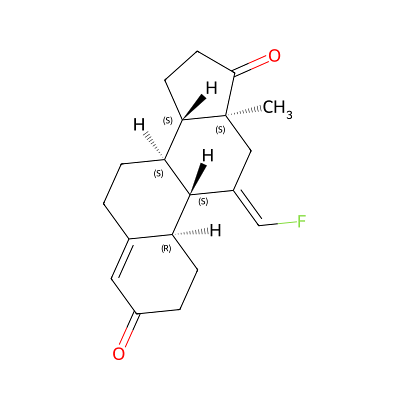 C[C@]12CC(=CF)[C@H]3[C@@H](CCC4=CC(=O)CC[C@@H]43)[C@@H]1CCC2=O